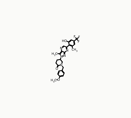 COc1ccc(CN2CC(n3nc4nc(-c5c(C)cc(C(F)(F)F)cc5O)cnc4c3C)CCC2=O)cc1